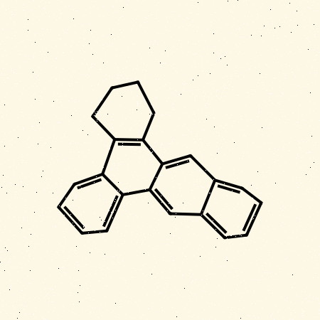 c1ccc2cc3c(cc2c1)c1c(c2ccccc23)CCCC1